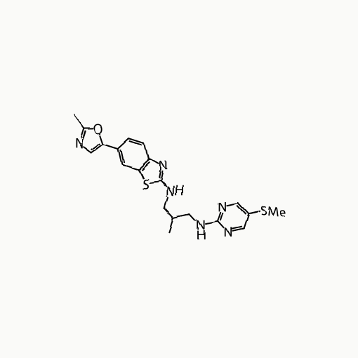 CSc1cnc(NCC(C)CNc2nc3ccc(-c4cnc(C)o4)cc3s2)nc1